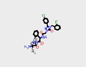 CC(C)(N)C(=O)NC(=O)C(NC(=O)Cn1nc(-c2ccc(Cl)cc2)n(Cc2ccccc2F)c1=O)c1ccccc1C(F)(F)F